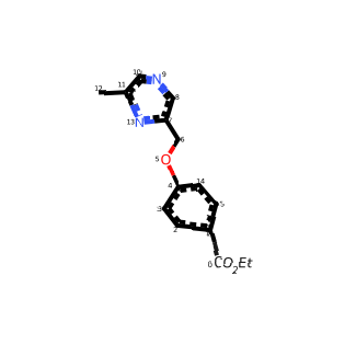 CCOC(=O)c1ccc(OCc2cncc(C)n2)cc1